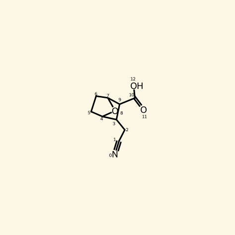 N#CCC1C2CCC(O2)C1C(=O)O